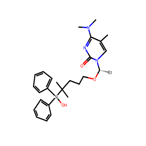 CC[C@H](OCCCC(C)(C)[Si](O)(c1ccccc1)c1ccccc1)n1cc(C)c(N(C)C)nc1=O